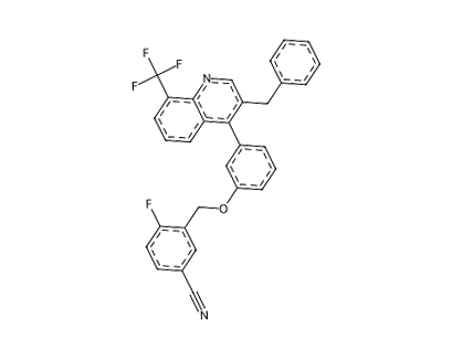 N#Cc1ccc(F)c(COc2cccc(-c3c(Cc4ccccc4)cnc4c(C(F)(F)F)cccc34)c2)c1